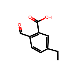 CCc1ccc(C=O)c(C(=O)O)c1